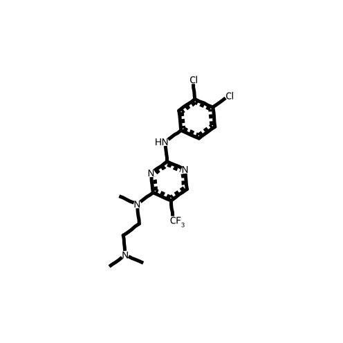 CN(C)CCN(C)c1nc(Nc2ccc(Cl)c(Cl)c2)ncc1C(F)(F)F